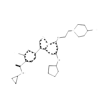 Cc1cc(-c2cnn3c(NCCN4CCC(O)CC4)cc(NC4CCCC4)nc23)ccc1C(=O)NC1CC1